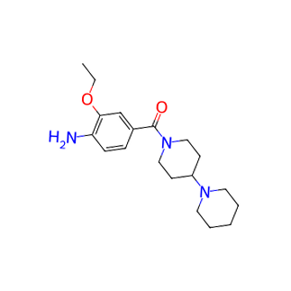 CCOc1cc(C(=O)N2CCC(N3CCCCC3)CC2)ccc1N